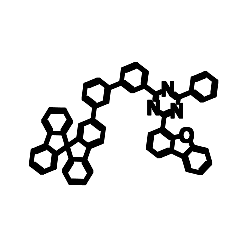 c1ccc(-c2nc(-c3cccc(-c4cccc(-c5ccc6c(c5)C5(c7ccccc7-c7ccccc75)c5ccccc5-6)c4)c3)nc(-c3cccc4c3oc3ccccc34)n2)cc1